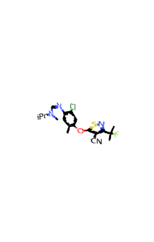 Cc1cc(/N=C\N(C)C(C)C)c(Cl)cc1Oc1snc(C(C)(C)F)c1C#N